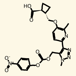 Cc1nc(-c2nnn(C)c2COC(=O)Oc2ccc([N+](=O)[O-])cc2)ccc1OC[C@H]1CC[C@@H]1C(=O)O